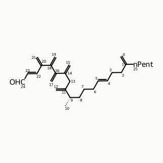 C=C(CC/C=C/CCC[C@H](C)C(=C)CC(=C)C(=C)C(=C)C(=C)/C=C/C=O)CCCCC